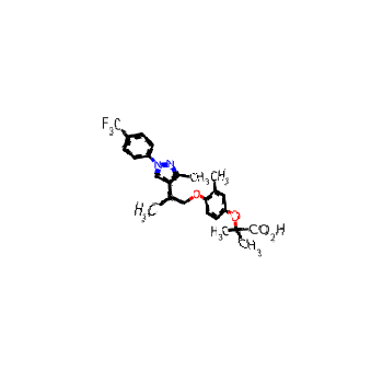 Cc1cc(OC(C)(C)C(=O)O)ccc1OCC(C)c1cn(-c2ccc(C(F)(F)F)cc2)nc1C